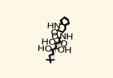 CO[C@@H](C(=O)NC1Cc2ccccc2NC1=O)[C@H](O)[C@@H](O)[C@H](O)/C=C/C(C)(C)C